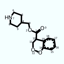 O=C(OCC1CCNCC1)C1COOc2ccccc21